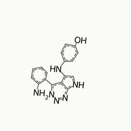 Nc1ccccc1-c1nnnc2[nH]cc(Nc3ccc(O)cc3)c12